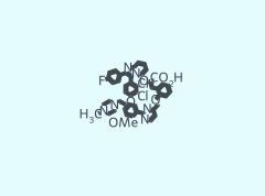 COc1ccccc1-c1nccc(COc2ccccc2CC(Oc2cccc3nc(-c4ccc(F)cc4)c(-c4ccc(OCCN5CCN(C)CC5)c(Cl)c4C)n23)C(=O)O)n1